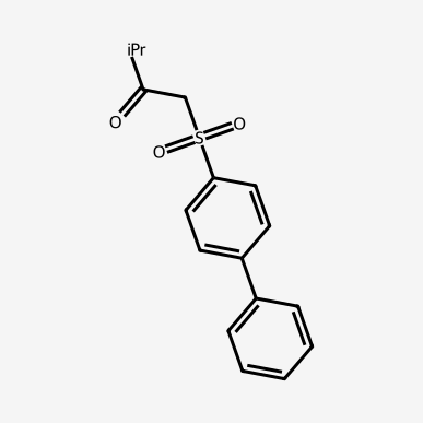 CC(C)C(=O)CS(=O)(=O)c1ccc(-c2ccccc2)cc1